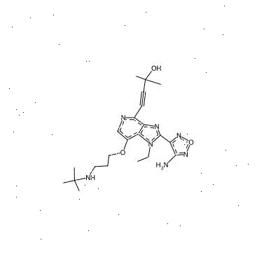 CCn1c(-c2nonc2N)nc2c(C#CC(C)(C)O)ncc(OCCCNC(C)(C)C)c21